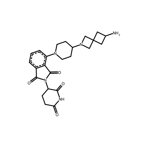 NC1CC2(C1)CN(C1CCN(c3cccc4c3C(=O)N(C3CCC(=O)NC3=O)C4=O)CC1)C2